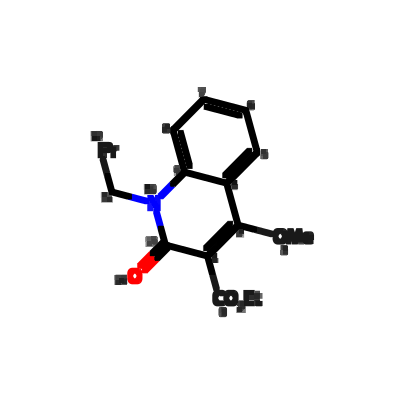 CCOC(=O)c1c(OC)c2ccccc2n(CC(C)C)c1=O